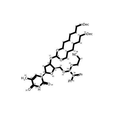 CCCCCCCCCCCCCCCCOC(OCCCCCCCCCCCCCCCC)OC1C[C@H](n2cc(C)c(=O)[nH]c2=O)O[C@@H]1COP(OCCC#N)N(C(C)C)C(C)C